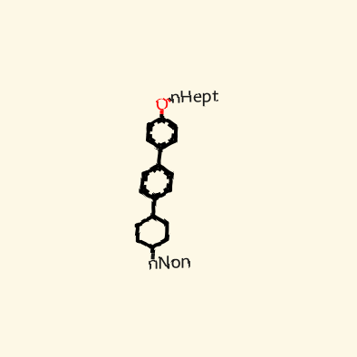 CCCCCCCCCC1CCC(c2ccc(-c3ccc(OCCCCCCC)cc3)cc2)CC1